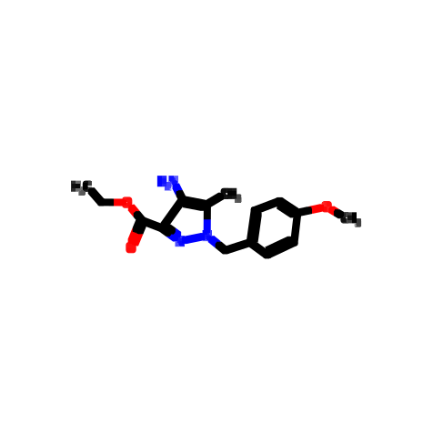 CCOC(=O)c1nn(Cc2ccc(OC)cc2)c(C)c1N